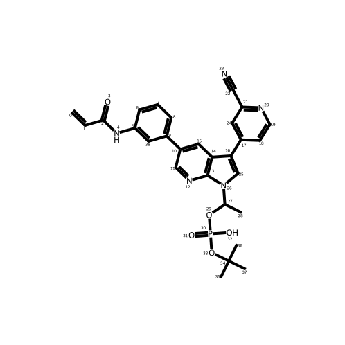 C=CC(=O)Nc1cccc(-c2cnc3c(c2)c(-c2ccnc(C#N)c2)cn3C(C)OP(=O)(O)OC(C)(C)C)c1